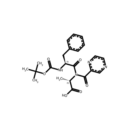 C[C@@H](C(=O)O)N(C(=O)c1cnccn1)C(=O)[C@H](Cc1ccccc1)NC(=O)OC(C)(C)C